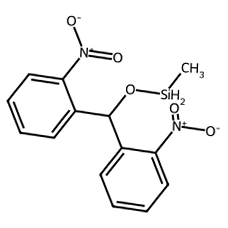 C[SiH2]OC(c1ccccc1[N+](=O)[O-])c1ccccc1[N+](=O)[O-]